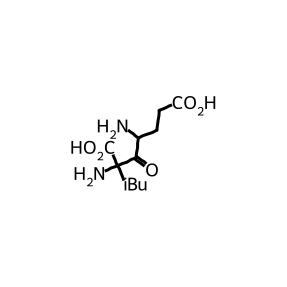 CCC(C)C(N)(C(=O)O)C(=O)C(N)CCC(=O)O